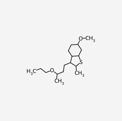 CCCOC(C)CCC1C(C)SC2CC(OC)CCC21